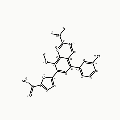 COc1c(-c2ccc(C(=O)O)o2)cc(-c2cccc(Cl)c2)c2cnc(N(C)C)nc12